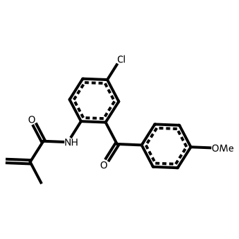 C=C(C)C(=O)Nc1ccc(Cl)cc1C(=O)c1ccc(OC)cc1